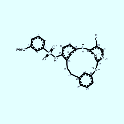 COc1cccc(S(=O)(=O)Nc2ccc3cc2CCc2cccc(c2)Nc2ncc(Cl)c(n2)N3)c1